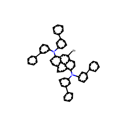 CC(C)c1cc2c(N(c3cccc(-c4ccccc4)c3)c3cccc(-c4ccccc4)c3)ccc3ccc4c(N(c5cccc(-c6ccccc6)c5)c5cccc(-c6ccccc6)c5)ccc1c4c32